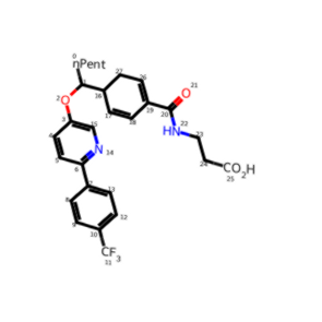 CCCCCC(Oc1ccc(-c2ccc(C(F)(F)F)cc2)nc1)C1C=CC(C(=O)NCCC(=O)O)=CC1